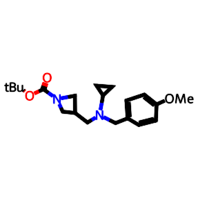 COc1ccc(CN(CC2CN(C(=O)OC(C)(C)C)C2)C2CC2)cc1